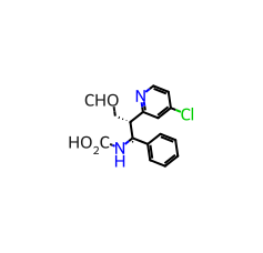 O=CC[C@@H]([C](NC(=O)O)c1ccccc1)c1cc(Cl)ccn1